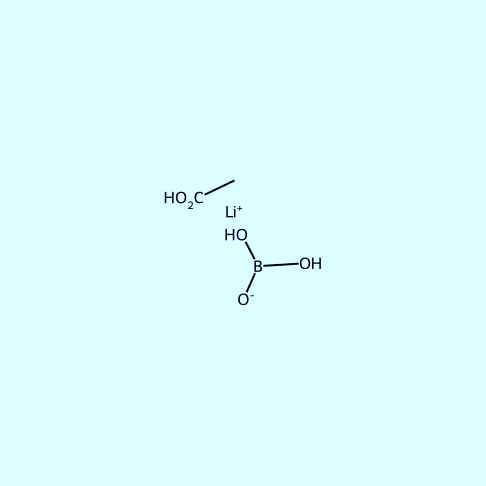 CC(=O)O.[Li+].[O-]B(O)O